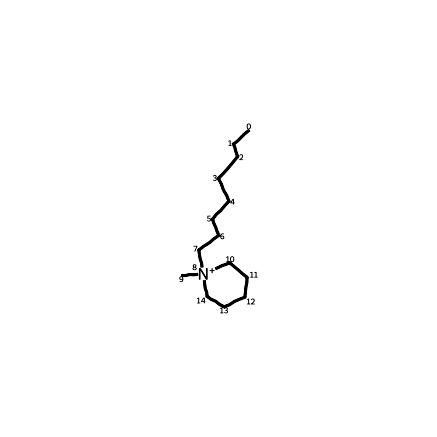 CCCCCCCC[N+]1(C)CCCCC1